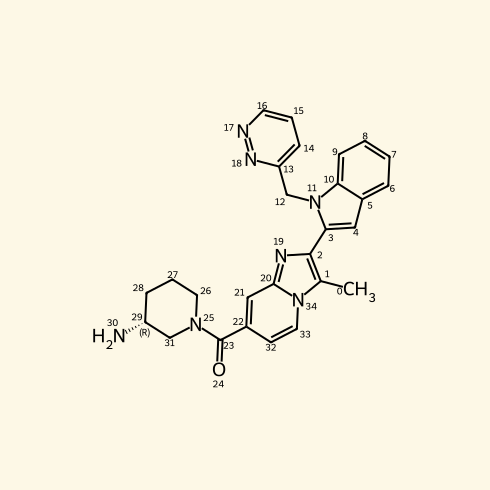 Cc1c(-c2cc3ccccc3n2Cc2cccnn2)nc2cc(C(=O)N3CCC[C@@H](N)C3)ccn12